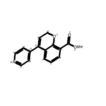 COC(=O)c1cccc2c1OCC=C2c1ccncc1